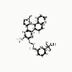 Cn1ccc(-c2nc(N)c(CCNc3cccc(C(C)(C)O)n3)nc2-c2ccc3ncccc3c2)n1